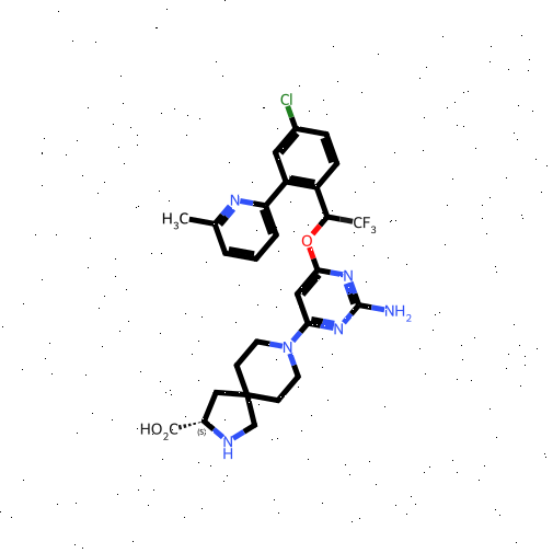 Cc1cccc(-c2cc(Cl)ccc2C(Oc2cc(N3CCC4(CC3)CN[C@H](C(=O)O)C4)nc(N)n2)C(F)(F)F)n1